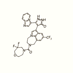 O=C(N1CCn2cc(-c3c(-c4cnc5ccccn45)[nH][nH]c3=O)c3cc(C(F)(F)F)cc(c32)C1)N1CCOCC(F)(F)C1